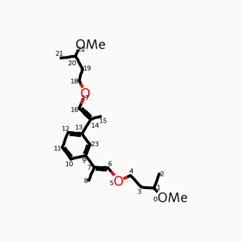 COC(C)CCOC=C(C)c1cccc(C(C)=COCCC(C)OC)c1